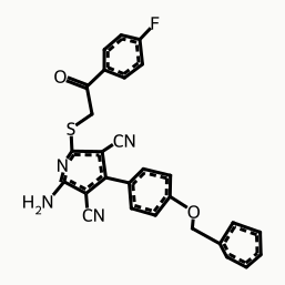 N#Cc1c(N)nc(SCC(=O)c2ccc(F)cc2)c(C#N)c1-c1ccc(OCc2ccccc2)cc1